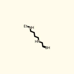 B=CCNCCCCNCC